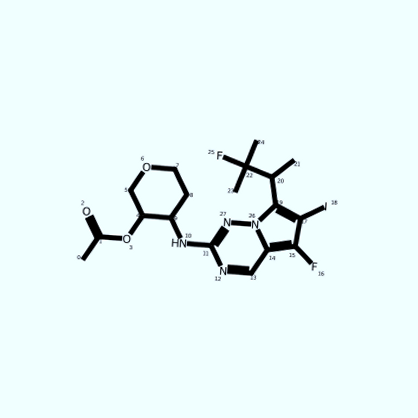 CC(=O)OC1COCCC1Nc1ncc2c(F)c(I)c(C(C)C(C)(C)F)n2n1